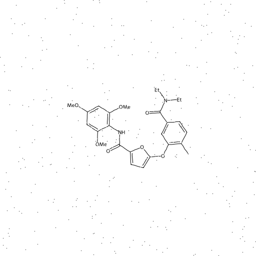 CCN(CC)C(=O)c1ccc(C)c(Oc2ccc(C(=O)Nc3c(OC)cc(OC)cc3OC)o2)c1